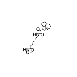 O=C(CCCCCCNC(=O)C(=O)c1cn2c3c(cccc13)CCC2)NO